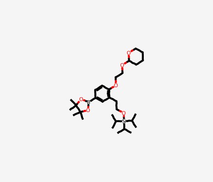 CC(C)[Si](OCCc1cc(B2OC(C)(C)C(C)(C)O2)ccc1OCCOC1CCCCO1)(C(C)C)C(C)C